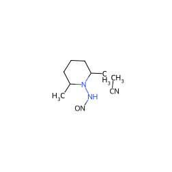 CC#N.CC1CCCC(C)N1NN=O